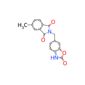 Cc1ccc2c(c1)C(=O)N(Cc1ccc3[nH]c(=O)oc3c1)C2=O